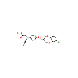 CC#CC(CC(=O)O)c1ccc(OCC2COc3ccc(Cl)cc3OC2)cc1